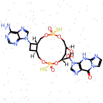 Nc1ncnc2c1ncn2[C@@H]1C[C@@H]2CO[P@@](=O)(S)O[C@@H]3[C@H](O)[C@@H](CO[P@](=O)(S)OC[C@H]21)O[C@H]3n1cnc2c(=O)n3ccnc3[nH]c21